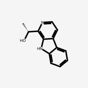 C[C@@H](O)c1nccc2c1[nH]c1ccccc12